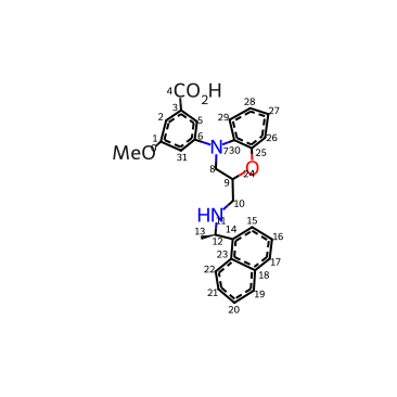 COc1cc(C(=O)O)cc(N2CC(CN[C@H](C)c3cccc4ccccc34)Oc3ccccc32)c1